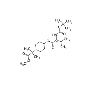 COC(=O)C(C)(C)C1CCC(OC(=O)[C@@H](NC(=O)OC(C)(C)C)C(C)C)CC1